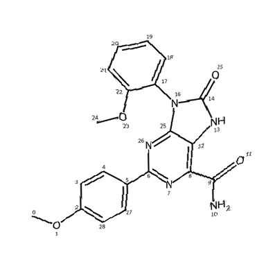 COc1ccc(-c2nc(C(N)=O)c3[nH]c(=O)n(-c4ccccc4OC)c3n2)cc1